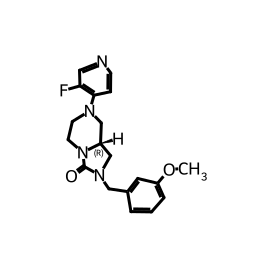 COc1cccc(CN2C[C@H]3CN(c4ccncc4F)CCN3C2=O)c1